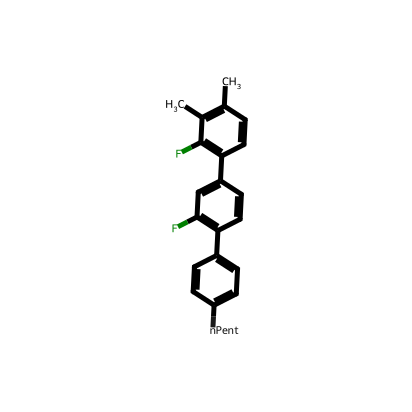 CCCCCc1ccc(-c2ccc(-c3ccc(C)c(C)c3F)cc2F)cc1